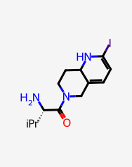 CC(C)[C@H](N)C(=O)N1CCC2NC(I)=CC=C2C1